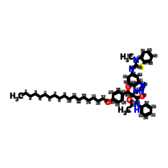 CCCCCCCCCCCCCCCCCCOc1ccc(C(=O)C(OCC)(C(=O)Nc2ccccc2)n2nnc3cc(N=c4sc5ccccc5n4C)ccc32)cc1